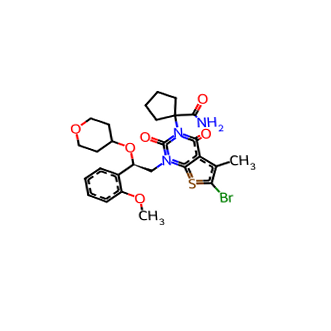 COc1ccccc1[C@H](Cn1c(=O)n(C2(C(N)=O)CCCC2)c(=O)c2c(C)c(Br)sc21)OC1CCOCC1